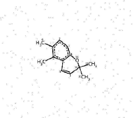 Cc1ccc2c(c1C)C=CC(C)(C)O2